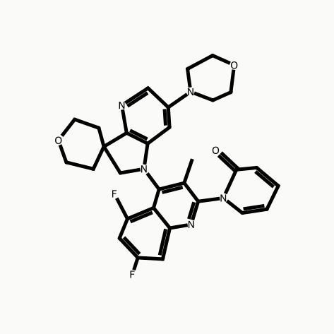 Cc1c(-n2ccccc2=O)nc2cc(F)cc(F)c2c1N1CC2(CCOCC2)c2ncc(N3CCOCC3)cc21